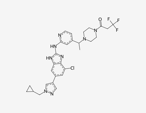 CC(c1ccnc(Nc2nc3c(Cl)cc(-c4cnn(CC5CC5)c4)cc3[nH]2)c1)N1CCN(C(=O)CC(F)(F)F)CC1